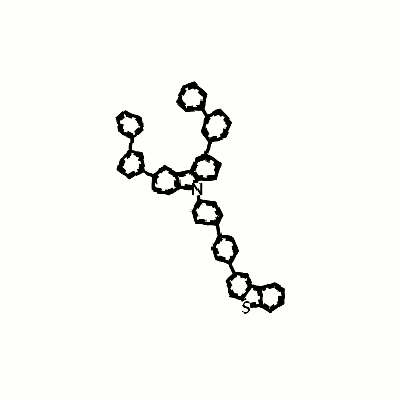 c1ccc(-c2cccc(-c3ccc4c(c3)c3cc(-c5cccc(-c6ccccc6)c5)ccc3n4-c3ccc(-c4ccc(-c5ccc6sc7ccccc7c6c5)cc4)cc3)c2)cc1